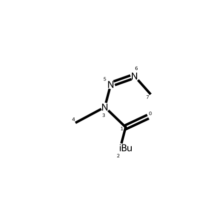 C=C(C(C)CC)N(C)/N=N\C